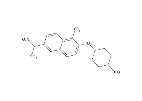 CC(c1ccc2c(C(F)(F)F)c(OC3CCC(C(C)(C)C)CC3)ccc2c1)[N+](=O)[O-]